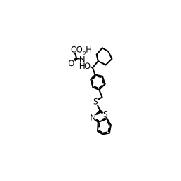 O=C(O)C(=O)NOC(c1ccc(CSc2nc3ccccc3s2)cc1)C1CCCCC1